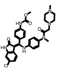 COC(=O)Nc1ccc(C(Nc2ccc(N(C)C(=O)CN3CCN(C)CC3)cc2)=C2C(=O)Nc3cc(Cl)ccc32)cc1